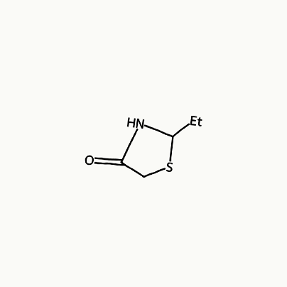 CCC1NC(=O)CS1